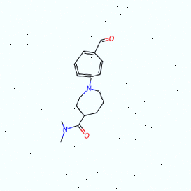 CN(C)C(=O)C1CCCN(C2=C=CC=C(C=O)C=C2)CC1